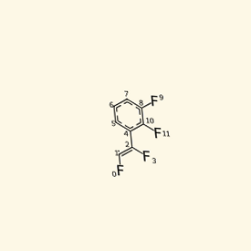 F[C]=C(F)c1cccc(F)c1F